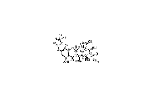 COC1=C2C(=O)c3c(O)cc(CN4CCC(F)(F)C4)c(Cl)c3C[C@H]2C[C@H]2[C@H](N(C)C)C(O)=C(C(N)=O)C(=N)[C@@]12OC